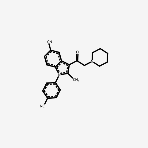 Cc1c(C(=O)CN2CCCCC2)c2cc(C#N)ccc2n1-c1ccc(C#N)cc1